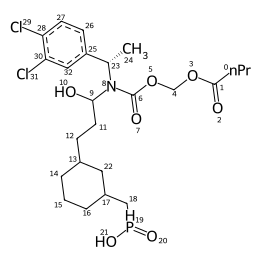 CCCC(=O)OCOC(=O)N(C(O)CCC1CCCC(C[PH](=O)O)C1)[C@@H](C)c1ccc(Cl)c(Cl)c1